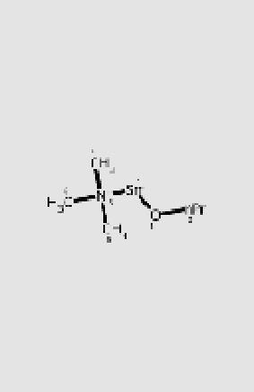 CCC[O][Sn][N+](C)(C)C